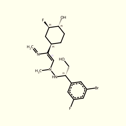 C=N/C(=C\N(C)N[C@H](CO)c1cc(F)cc(Br)c1)[C@@H]1CC[C@@H](O)[C@H](F)C1